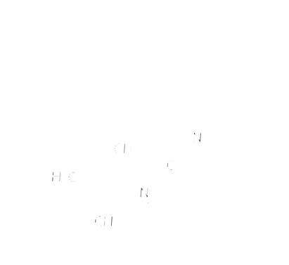 CC(C)(C)N=C=NC1CCCC1